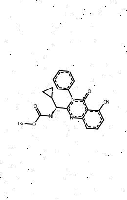 CC(C)(C)OC(=O)N[C@H](c1nc2cccc(C#N)c2c(=O)n1-c1ccccc1)C1CC1